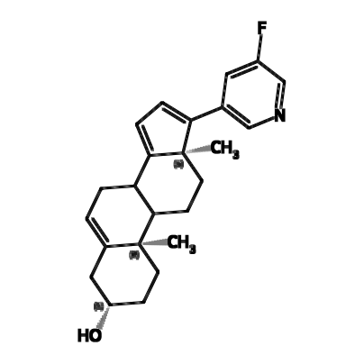 C[C@]12CCC3C(CC=C4C[C@@H](O)CC[C@@]43C)C1=CC=C2c1cncc(F)c1